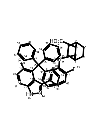 O=C(O)C1C2CCC(CC2)C1Nc1nc(-c2n[nH]c3ncc(F)c(C(c4ccccc4)(c4ccccc4)c4ccccc4)c23)ncc1F